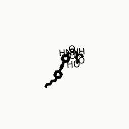 CCCCCc1ccc(C#Cc2ccc(NS(=O)(=O)N[C@@H](CC)CC(=O)O)cc2)cc1